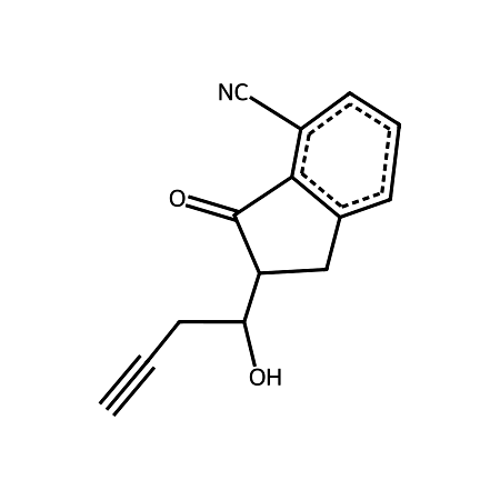 C#CCC(O)C1Cc2cccc(C#N)c2C1=O